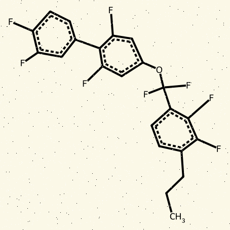 CCCc1ccc(C(F)(F)Oc2cc(F)c(-c3ccc(F)c(F)c3)c(F)c2)c(F)c1F